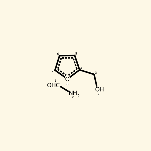 NC=O.OCc1ccco1